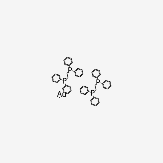 [Au].c1ccc(P(CCP(c2ccccc2)c2ccccc2)c2ccccc2)cc1.c1ccc(P(CCP(c2ccccc2)c2ccccc2)c2ccccc2)cc1